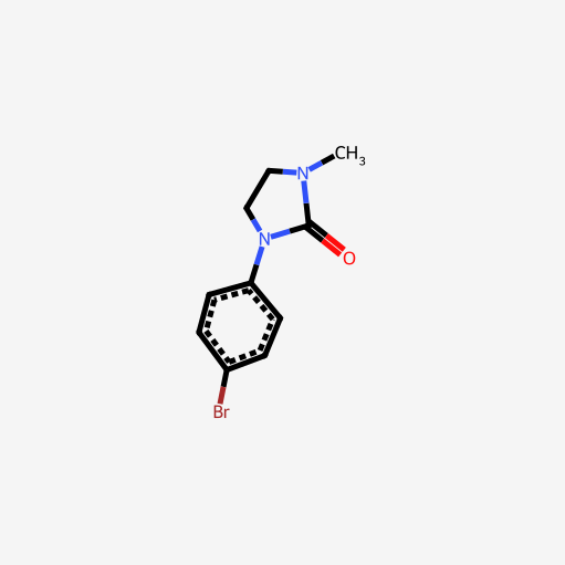 CN1CCN(c2ccc(Br)cc2)C1=O